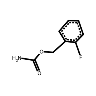 NC(=O)OCc1ccccc1F